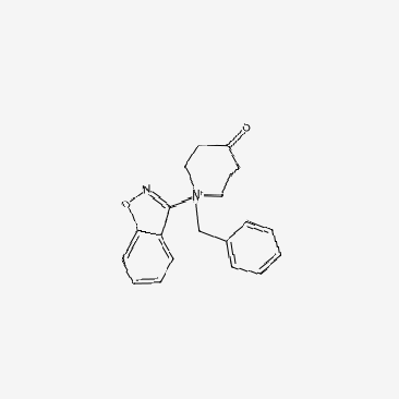 O=C1CC[N+](Cc2ccccc2)(c2noc3ccccc23)CC1